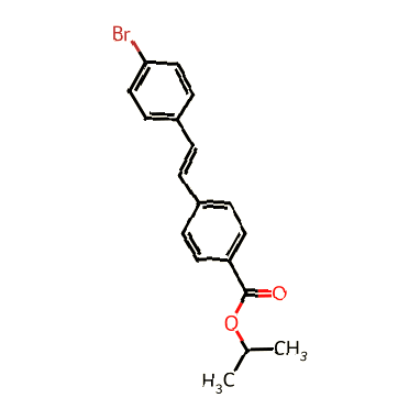 CC(C)OC(=O)c1ccc(/C=C/c2ccc(Br)cc2)cc1